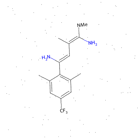 CN/C(N)=C(C)/C=C(\N)c1c(C)cc(C(F)(F)F)cc1C